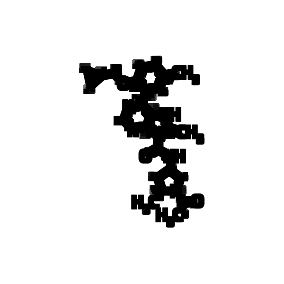 CC(=O)N1C[C@@H](NC(=O)c2c(C)[nH]c3c(-c4cc(C)ccc4OCC4CC4)ncnc23)C[C@H]1C